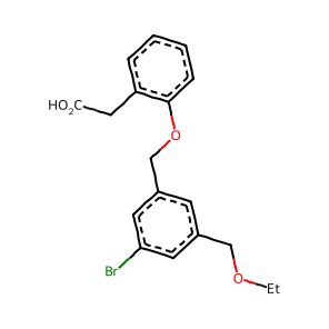 CCOCc1cc(Br)cc(COc2ccccc2CC(=O)O)c1